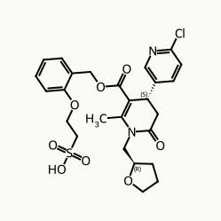 CC1=C(C(=O)OCc2ccccc2OCCS(=O)(=O)O)[C@H](c2ccc(Cl)nc2)CC(=O)N1C[C@H]1CCCO1